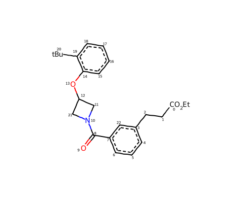 CCOC(=O)CCc1cccc(C(=O)N2CC(Oc3ccccc3C(C)(C)C)C2)c1